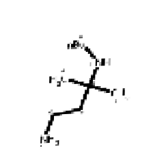 CCCCNC(C)(C)CCN